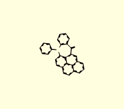 O=C1c2ccccc2B(c2ccccc2)c2ccc3ccc4cccc5cc1c2c3c45